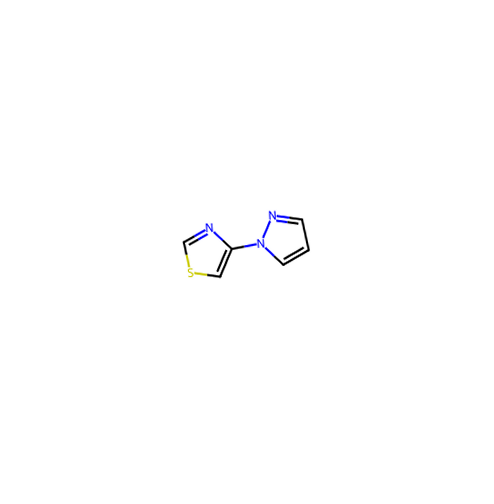 c1cnn(-c2cscn2)c1